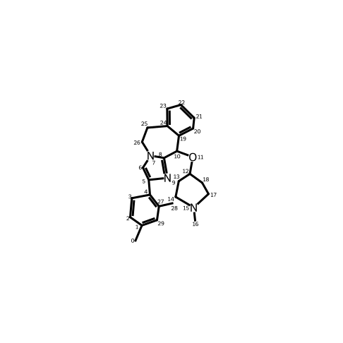 Cc1ccc(-c2cn3c(n2)C(OC2CCN(C)CC2)c2ccccc2CC3)c(C)c1